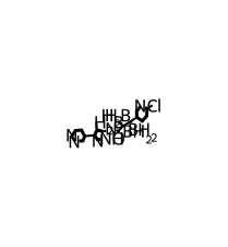 BC(B)(C(=O)Nc1[nH]nc(-c2ccnnc2)c1C)C(B)(B)c1ccc(Cl)nc1